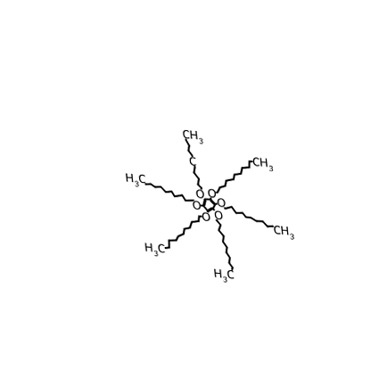 CCCCCCCCCCCOc1c(OCCCCCCCCCCC)c(OCCCCCCCCCCC)c(OCCCCCCCCCCC)c(OCCCCCCCCCCC)c1OCCCCCCCCCCC